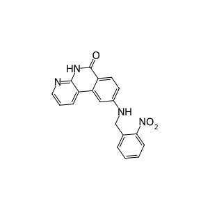 O=c1[nH]c2ncccc2c2cc(NCc3ccccc3[N+](=O)[O-])ccc12